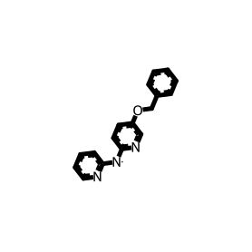 c1ccc(COc2ccc([N]c3ccccn3)nc2)cc1